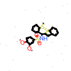 COc1ccc(S(=O)(=O)NC(c2cc3ccccc3s2)c2ccccc2SC)cc1OC